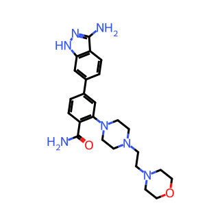 NC(=O)c1ccc(-c2ccc3c(N)n[nH]c3c2)cc1N1CCN(CCN2CCOCC2)CC1